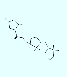 CC1(C)[C@@H](CN2CCCS2(O)O)CC[C@@]1(C)NCC(=O)N1C[C@@H](F)C[C@H]1C#N